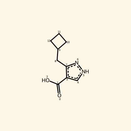 O=C(O)c1c[nH]nc1CC1CCC1